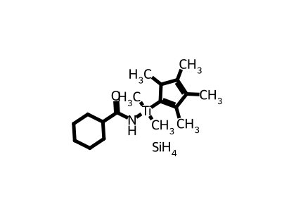 CC1=C(C)C(C)[C]([Ti]([CH3])([CH3])[NH]C(=O)C2CCCCC2)=C1C.[SiH4]